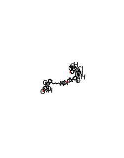 COc1cc(N2CCC(N3CCN(CCCCCc4cccc5c4CN(C4CCC(=O)NC4=O)C5=O)CC3)CC2)ccc1Nc1ncc(Cl)c(Nc2ccccc2P(=O)(OC)OC)n1